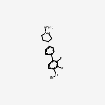 CCCCC[Si@H]1CC[C@H](c2ccc(-c3ccc(OCC)c(F)c3F)cc2)CC1